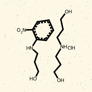 Cl.O=[N+]([O-])c1ccccc1NCCCO.OCCCNCCCO